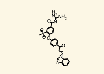 CS(=O)(=O)c1cc(C(=O)N=C(N)N)ccc1Oc1ccc(C(=O)CSn2cnc3ccccc32)cc1